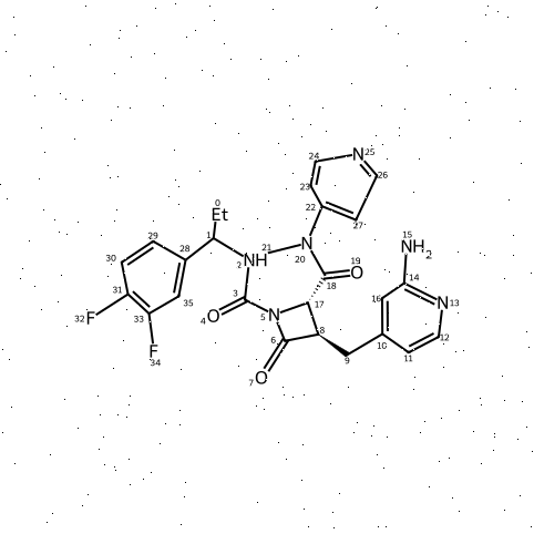 CCC(NC(=O)N1C(=O)[C@H](Cc2ccnc(N)c2)[C@H]1C(=O)N(C)c1ccncc1)c1ccc(F)c(F)c1